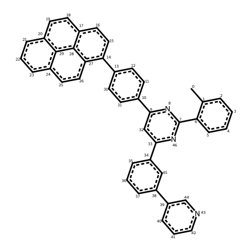 Cc1ccccc1-c1nc(-c2ccc(-c3ccc4ccc5cccc6ccc3c4c56)cc2)cc(-c2cccc(-c3cccnc3)c2)n1